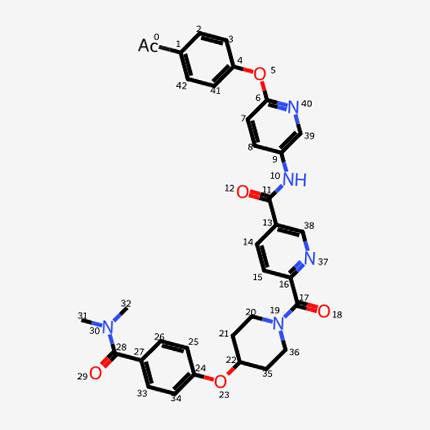 CC(=O)c1ccc(Oc2ccc(NC(=O)c3ccc(C(=O)N4CCC(Oc5ccc(C(=O)N(C)C)cc5)CC4)nc3)cn2)cc1